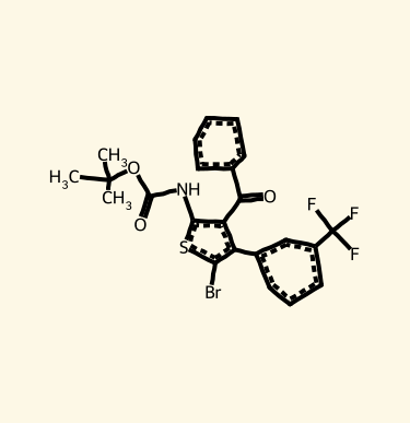 CC(C)(C)OC(=O)Nc1sc(Br)c(-c2cccc(C(F)(F)F)c2)c1C(=O)c1ccccc1